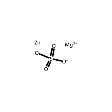 O=S(=O)([O-])[O-].[Mg+2].[Zn]